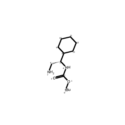 CC(C)(C)OC(=O)N[C@H](CN)C1CCCCC1